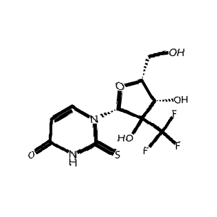 O=c1ccn([C@@H]2O[C@H](CO)[C@H](O)C2(O)C(F)(F)F)c(=S)[nH]1